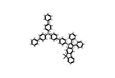 CC1(C)c2ccccc2-c2cc3c(-c4ccccc4)c(-c4ccccc4)n(-c4ccc(-c5ccc(N(c6ccc(-c7ccccc7)cc6)c6ccc(-c7ccccc7)cc6)cc5)cc4)c3cc21